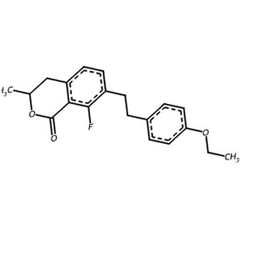 CCOc1ccc(CCc2ccc3c(c2F)C(=O)OC(C)C3)cc1